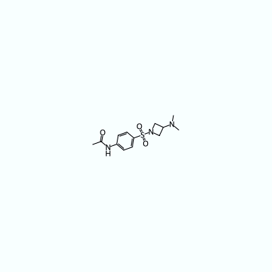 CC(=O)Nc1ccc(S(=O)(=O)N2CC(N(C)C)C2)cc1